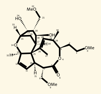 COCC[C@H]1OC(=O)[C@H](COC)[C@H]2C=C[C@H]3O[C@H]4C[C@@H]([C@H](O)[C@@H](COC)[C@H]4O)[C@]23/C(C)=C/[C@H]1C